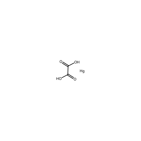 O=C(O)C(=O)O.[Hg]